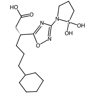 O=C(O)C[C@@H](CCCC1CCCCC1)c1nc(N2CCCS2(O)O)no1